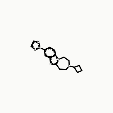 c1cnn(-c2ccc3c(c2)nc2n3CCN(C3CCC3)CC2)n1